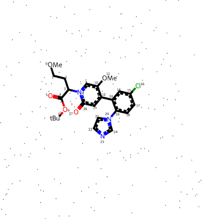 COCCC(C(=O)OC(C)(C)C)n1cc(OC)c(-c2cc(Cl)ccc2-n2ccnc2)cc1=O